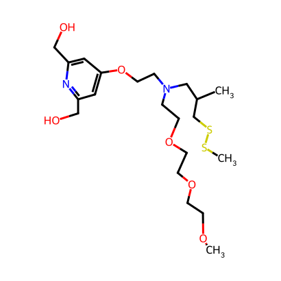 COCCOCCOCCN(CCOc1cc(CO)nc(CO)c1)CC(C)CSSC